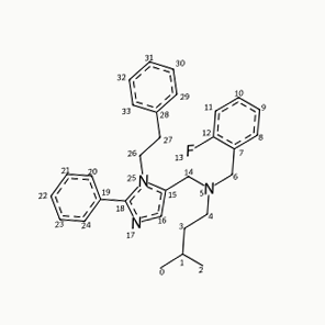 CC(C)CCN(Cc1ccccc1F)Cc1cnc(-c2ccccc2)n1CCc1ccccc1